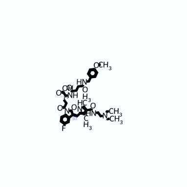 CCN(CC)CCNC(=O)c1c(C)[nH]c(/C=C2\C(=O)N(C(=O)CC[C@@H](NC(=O)CCC(=O)NCc3ccc(OC)cc3)C(=O)O)c3ccc(F)cc32)c1C